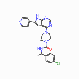 CC(NC(=O)N1CCN(c2ncnc3[nH]c(-c4ccncc4)cc23)CC1)c1ccc(Cl)cc1